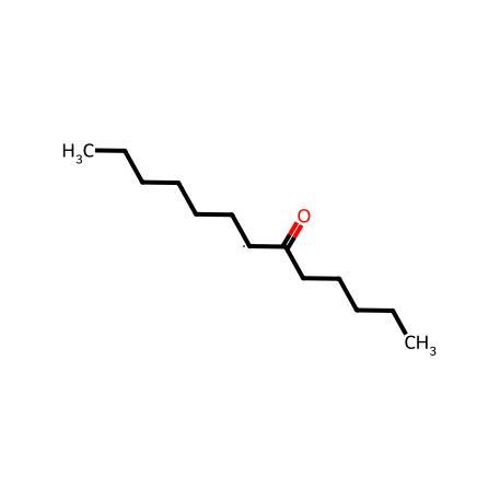 CCCCCC[CH]C(=O)CCCCC